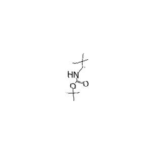 CC(C)(C)[CH]NC(=O)OC(C)(C)C